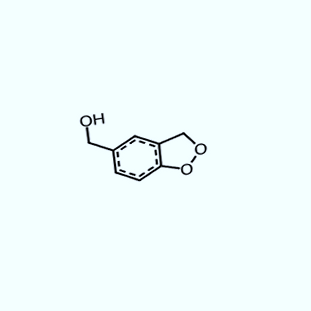 OCc1ccc2c(c1)COO2